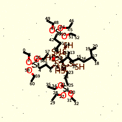 CCO[Si](CCCS(S)(SS)C(C(C)CCCC(C)CC)(S(S)(CCC[Si](OCC)(OCC)OCC)SS)S(S)(CCC[Si](OCC)(OCC)OCC)SS)(OCC)OCC